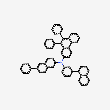 c1ccc(-c2ccc3cc(N(c4cccc(-c5cccc6ccccc56)c4)c4ccc5c(c4)c(-c4ccccc4)c(-c4ccccc4)c4ccccc45)ccc3c2)cc1